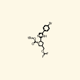 CC(C)(C)OC(=O)N1CC(COC(F)F)CC1c1ncc(-c2ccc(Br)cc2)[nH]1